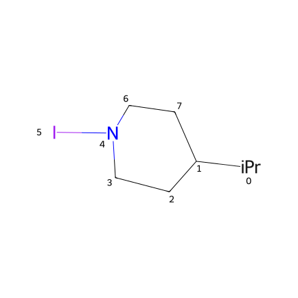 CC(C)C1CCN(I)CC1